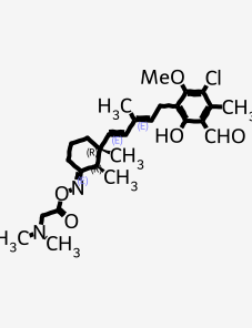 COc1c(Cl)c(C)c(C=O)c(O)c1C/C=C(C)/C=C/[C@@]1(C)CCC/C(=N\OC(=O)CN(C)C)[C@@H]1C